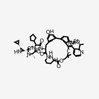 CCn1c(-c2cccnc2[C@H](C)OC)c2c3cc(ccc31)-c1cc(O)cc(c1)C[C@H](NC(=O)C(C1CCCC1)N(C)C(=O)[C@H](C)N(C)C(=O)[C@@H]1N[C@@H]1C1CC1)C(=O)N1CCC[C@H](N1)C(=O)OCC(C)(C)C2